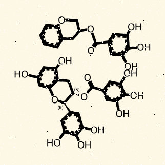 O=C(OC1COc2ccccc2C1)c1cc(O)c(O)c(O)c1.O=C(O[C@H]1Cc2c(O)cc(O)cc2O[C@@H]1c1cc(O)c(O)c(O)c1)c1cc(O)c(O)c(O)c1